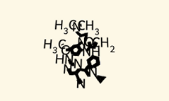 C=CC(=O)Nc1cc(Nc2ncc(C#N)c(-c3cn(C4CC4)c4ccccc34)n2)c(OC)cc1N1CCC1CN(C)C